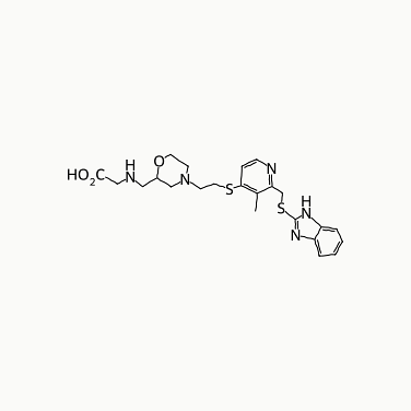 Cc1c(SCCN2CCOC(CNCC(=O)O)C2)ccnc1CSc1nc2ccccc2[nH]1